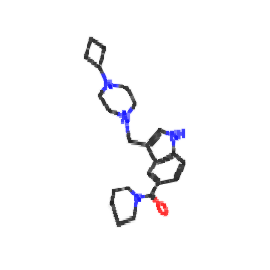 O=C(c1ccc2[nH]cc(CN3CCN(C4CCC4)CC3)c2c1)N1CCCCC1